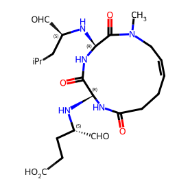 CC(C)C[C@@H](C=O)N[C@@H]1NC(=O)[C@H](N[C@H](C=O)CCC(=O)O)NC(=O)CCC=CCN(C)C1=O